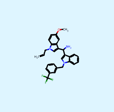 C=CCn1cc(C(N)c2cn(Cc3cccc(C(F)(F)F)c3)c3ccccc23)c2cc(OC)ccc21